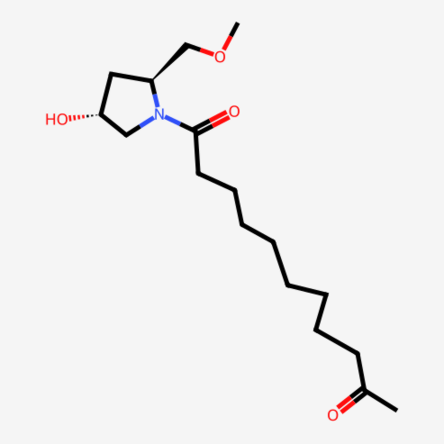 COC[C@@H]1C[C@@H](O)CN1C(=O)CCCCCCCCC(C)=O